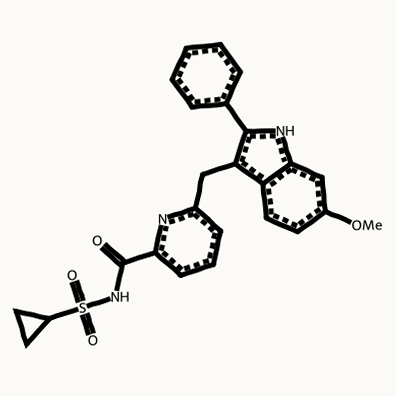 COc1ccc2c(Cc3cccc(C(=O)NS(=O)(=O)C4CC4)n3)c(-c3ccccc3)[nH]c2c1